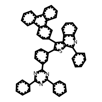 c1ccc(-c2nc(-c3ccccc3)nc(-c3cccc(-c4sc5c(-c6ccccc6)nc6ccccc6c5c4-c4ccc5c6ccccc6c6ccccc6c5c4)c3)n2)cc1